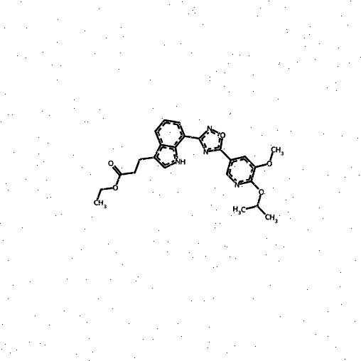 CCOC(=O)CCc1c[nH]c2c(-c3noc(-c4cnc(OC(C)C)c(OC)c4)n3)cccc12